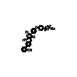 CCCc1nc(CC)n(-c2ccc(O[C@H]3CC[C@H](C(C)(C)O[Si](C)(C)C(C)(C)C)CC3)cc2)c(=O)c1Cc1ccc(-c2ccccc2C#N)cc1